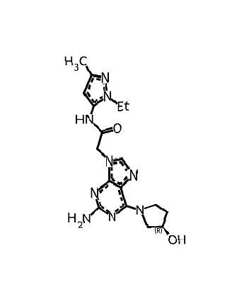 CCn1nc(C)cc1NC(=O)Cn1cnc2c(N3CC[C@@H](O)C3)nc(N)nc21